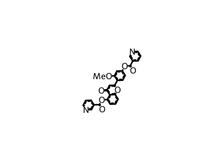 COc1cc(OC(=O)c2cccnc2)ccc1-c1cc(=O)c2c(OC(=O)c3cccnc3)cccc2o1